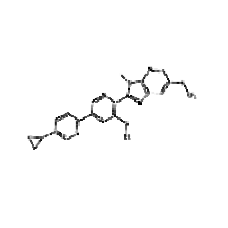 CCSc1cc(-c2ccc(C3CC3)cc2)cnc1-c1nc2cc(SC(F)(F)F)cnc2n1C